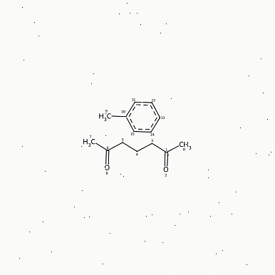 CC(=O)CCCC(C)=O.Cc1ccccc1